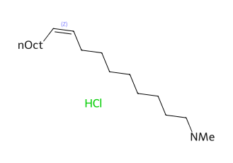 CCCCCCCC/C=C\CCCCCCCCNC.Cl